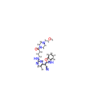 COCCN1CCN(C(=O)CCCNc2ncc(C)c(/C(C#N)=C3/Nc4ccccc4O3)n2)CC1